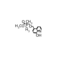 COC(=O)C(C)(C)COCc1ccc(O)c2ncccc12